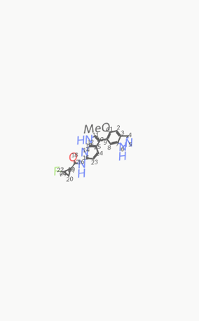 COc1cc2cn[nH]c2cc1-c1c[nH]c2nc(NC(=O)[C@H]3C[C@H]3F)ccc12